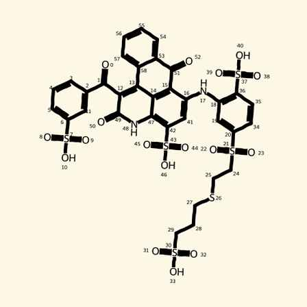 O=C(c1cccc(S(=O)(=O)O)c1)c1c2c3c(c(Nc4cc(S(=O)(=O)CCSCCCS(=O)(=O)O)ccc4S(=O)(=O)O)cc(S(=O)(=O)O)c3[nH]c1=O)C(=O)c1ccccc1-2